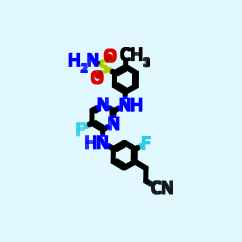 Cc1ccc(Nc2ncc(F)c(Nc3ccc(CCC#N)c(F)c3)n2)cc1S(N)(=O)=O